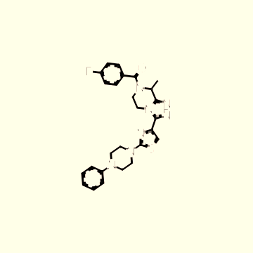 CC1c2nnc(-c3csc(N4CCN(c5ccccc5)CC4)n3)n2CCN1C(=O)c1ccc(F)cc1